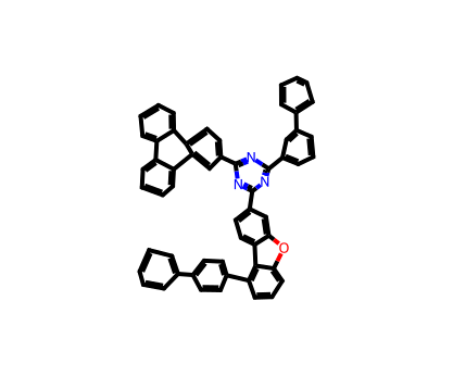 c1ccc(-c2ccc(-c3cccc4oc5cc(-c6nc(-c7cccc(-c8ccccc8)c7)nc(-c7ccc8c9ccccc9c9ccccc9c8c7)n6)ccc5c34)cc2)cc1